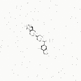 CC(c1ccc2c(c1)OCC2)N1CCC(N2CCc3n[nH]cc3C2)CC1